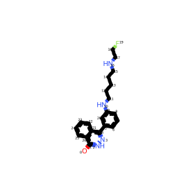 O=c1[nH]nc(-c2cccc(NCCCCCNCCF)c2)c2ccccc12